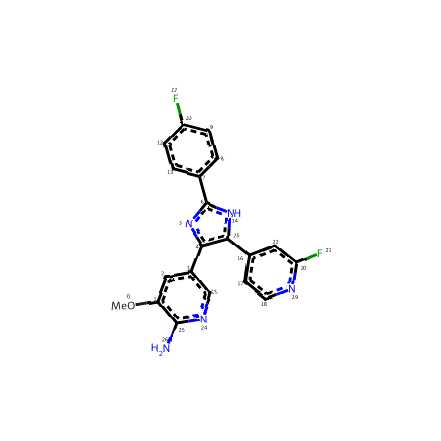 COc1cc(-c2nc(-c3ccc(F)cc3)[nH]c2-c2ccnc(F)c2)cnc1N